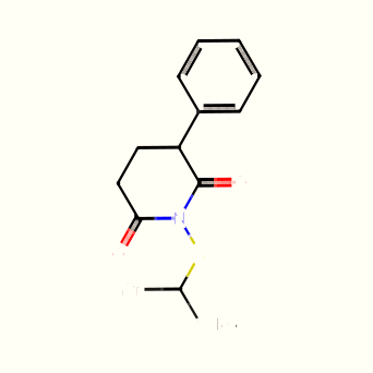 CCCCCCC(CCC)SN1C(=O)CCC(c2ccccc2)C1=O